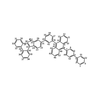 c1ccc(-c2ccc(-c3c4ccccc4c(-c4cccc(-c5ccc6c(c5)sc5c7ccccc7c7ccccc7c65)c4)c4ccccc34)cc2)cc1